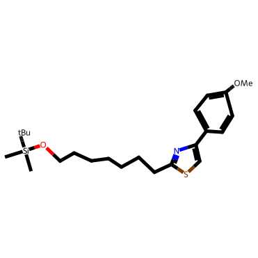 COc1ccc(-c2csc(CCCCCCCO[Si](C)(C)C(C)(C)C)n2)cc1